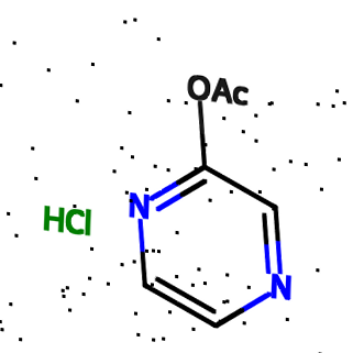 CC(=O)Oc1cnccn1.Cl